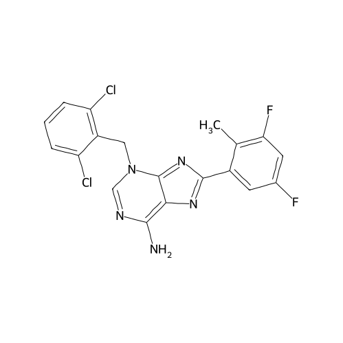 Cc1c(F)cc(F)cc1-c1nc2c(N)ncn(Cc3c(Cl)cccc3Cl)c-2n1